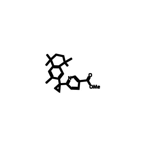 COC(=O)c1ccc(C2(c3cc4c(cc3C)C(C)(C)CCC4(C)C)CC2)nc1